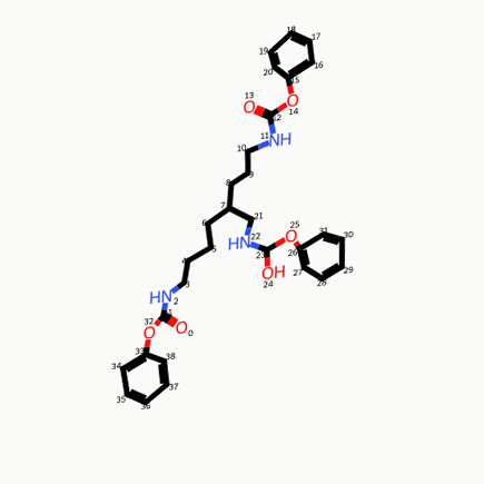 O=C(NCCCCC(CCCNC(=O)Oc1ccccc1)CNC(O)Oc1ccccc1)Oc1ccccc1